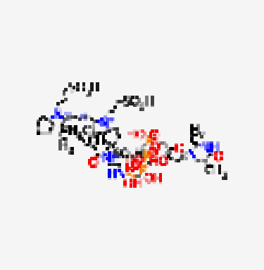 C=C1NC(=O)C(C)=CN1[C@H]1CC(O)[C@@H](COP(=O)(O)CP(=O)(O)CP(=O)(O)CP(=O)(O)NCCNC(=O)CCCCCC2(C)/C(=C\C=C\C3=[N+](CCCS(=O)(=O)O)c4ccc(S(=O)(=O)O)cc4C3(C)C)N(CCCS(=O)(=O)O)c3ccccc32)O1